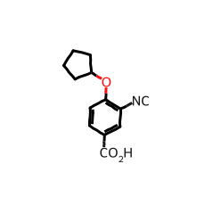 [C-]#[N+]c1cc(C(=O)O)ccc1OC1CCCC1